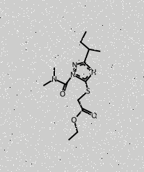 CCOC(=O)CSc1nc(C(C)CC)nn1C(=O)N(C)C